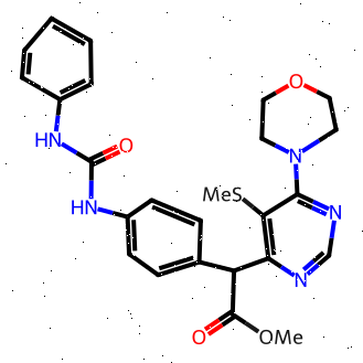 COC(=O)C(c1ccc(NC(=O)Nc2ccccc2)cc1)c1ncnc(N2CCOCC2)c1SC